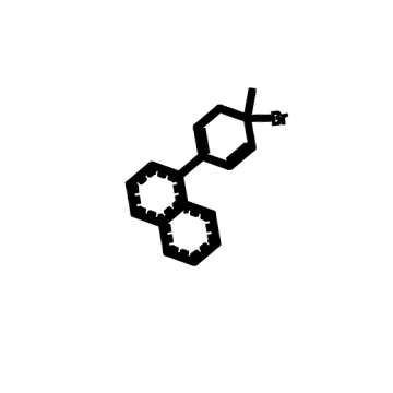 CC1(Br)C=CC(c2cccc3ccccc23)=CC1